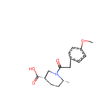 COc1ccc(CC(=O)N2C[C@@H](C(=O)O)CC[C@H]2C)cc1